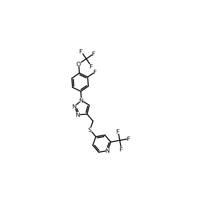 Fc1cc(-n2cc(CSc3ccnc(C(F)(F)F)c3)nn2)ccc1OC(F)(F)F